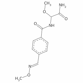 CON=Cc1ccc(C(=O)NC(OC)C(N)=O)cc1